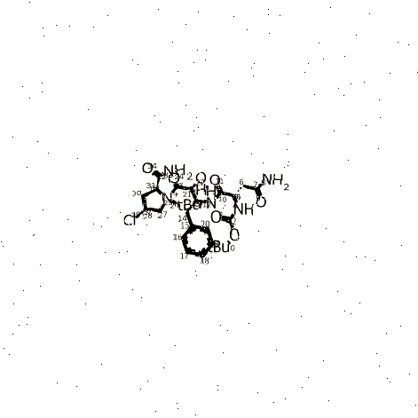 CC(C)(C)OC(=O)N[C@@H](CC(N)=O)C(=O)N[C@@H](Cc1ccccc1)[C@H](O)C(=O)[N+]1(C(C)(C)C)C[C@@H](Cl)C[C@H]1C(N)=O